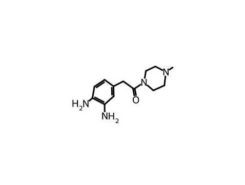 CN1CCN(C(=O)Cc2ccc(N)c(N)c2)CC1